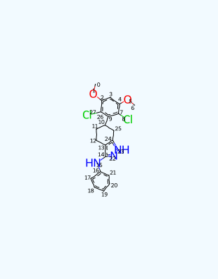 COc1cc(OC)c(Cl)c(C2CCc3c(Nc4ccccc4)n[nH]c3C2)c1Cl